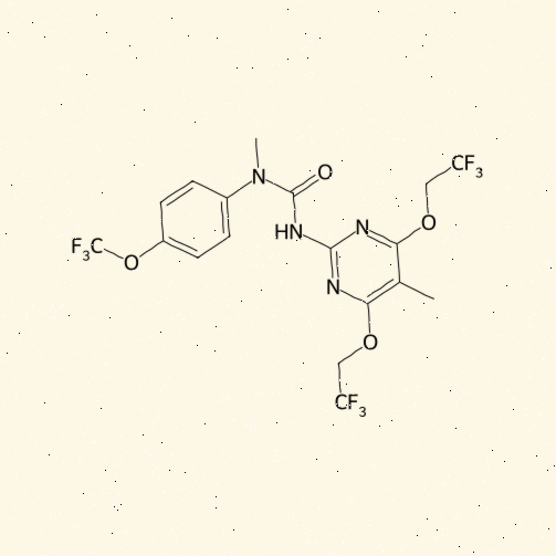 Cc1c(OCC(F)(F)F)nc(NC(=O)N(C)c2ccc(OC(F)(F)F)cc2)nc1OCC(F)(F)F